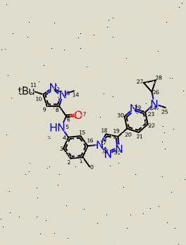 Cc1ccc(NC(=O)c2cc(C(C)(C)C)nn2C)cc1-n1cc(-c2ccc(N(C)C3CC3)nc2)nn1